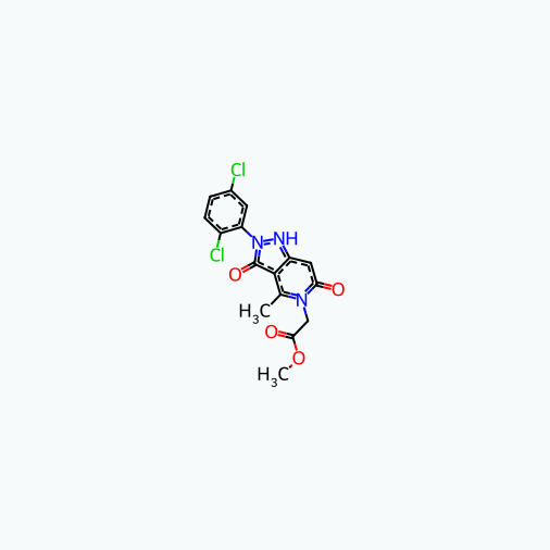 COC(=O)Cn1c(C)c2c(=O)n(-c3cc(Cl)ccc3Cl)[nH]c2cc1=O